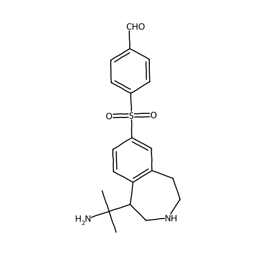 CC(C)(N)C1CNCCc2cc(S(=O)(=O)c3ccc(C=O)cc3)ccc21